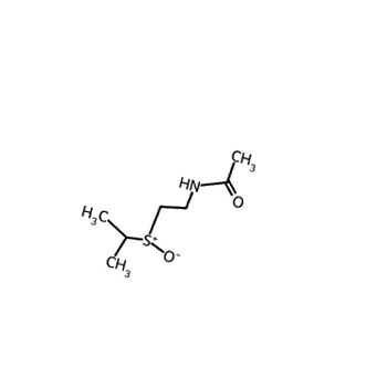 CC(=O)NCC[S+]([O-])C(C)C